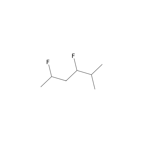 CC(F)CC(F)C(C)C